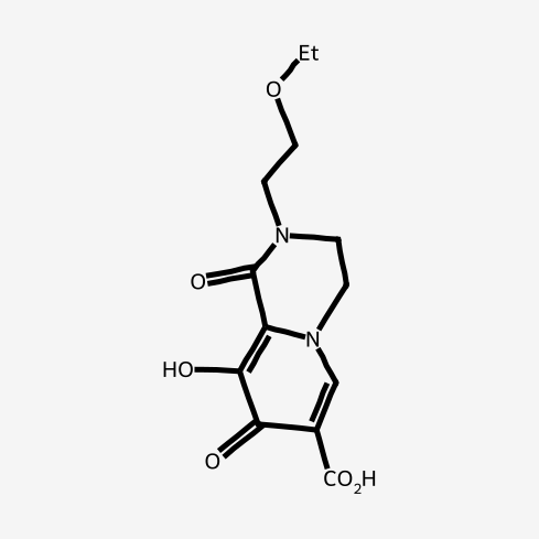 CCOCCN1CCn2cc(C(=O)O)c(=O)c(O)c2C1=O